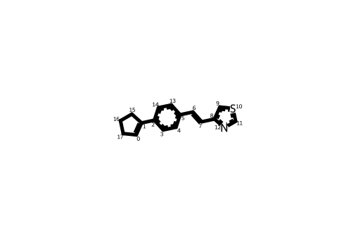 C1=C(c2ccc(/C=C/c3cscn3)cc2)CCC1